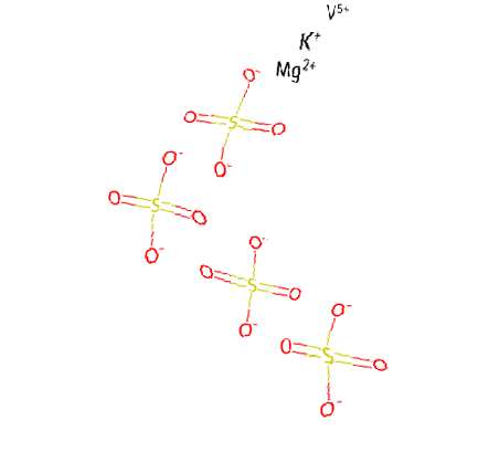 O=S(=O)([O-])[O-].O=S(=O)([O-])[O-].O=S(=O)([O-])[O-].O=S(=O)([O-])[O-].[K+].[Mg+2].[V+5]